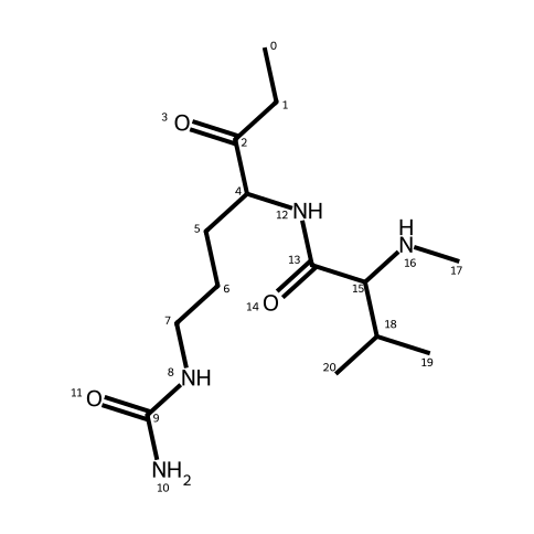 CCC(=O)C(CCCNC(N)=O)NC(=O)C(NC)C(C)C